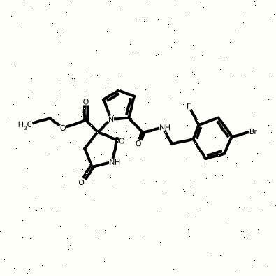 CCOC(=O)C1(n2cccc2C(=O)NCc2ccc(Br)cc2F)CC(=O)NC1=O